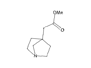 COC(=O)CC12CCN(CC1)C2